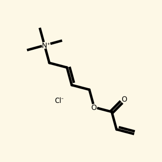 C=CC(=O)OCC=CC[N+](C)(C)C.[Cl-]